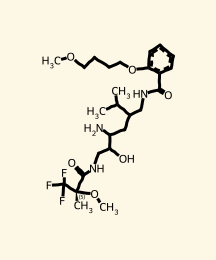 COCCCCOc1ccccc1C(=O)NCC(CC(N)C(O)CNC(=O)[C@](C)(OC)C(F)(F)F)C(C)C